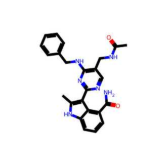 CC(=O)NCc1cnc(-c2c(C)[nH]c3cccc(C(N)=O)c23)nc1NCc1ccccc1